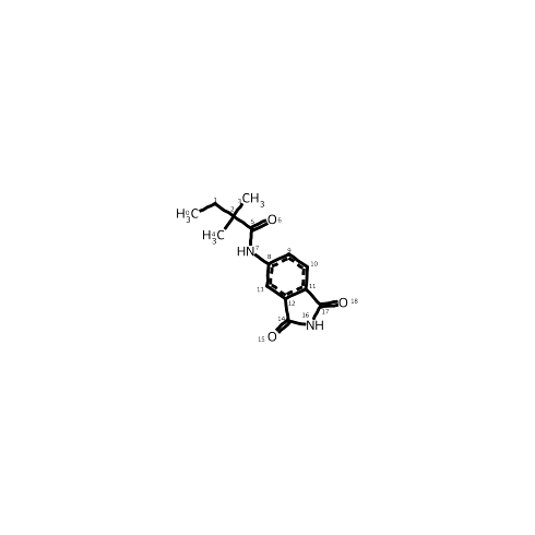 CCC(C)(C)C(=O)Nc1ccc2c(c1)C(=O)NC2=O